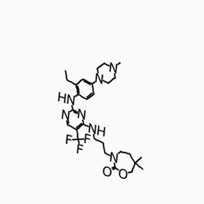 CCc1cc(N2CCN(C)CC2)ccc1Nc1ncc(C(F)(F)F)c(NCCCN2CCC(C)(C)COC2=O)n1